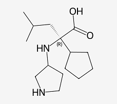 CC(C)C[C@](NC1CCNC1)(C(=O)O)C1CCCC1